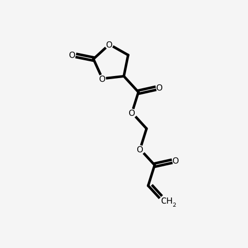 C=CC(=O)OCOC(=O)C1COC(=O)O1